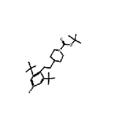 CC(C)(C)OC(=O)N1CCC(CCc2c(C(C)(C)C)cc(F)cc2C(C)(C)C)CC1